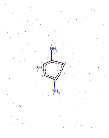 Nc1ccc(N)cc1.[SiH4]